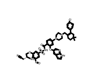 CC1(C)CCC(CN2CCN(c3ccc(C(=O)NS(=O)(=O)c4cc(N=O)c5c(c4)OC[C@@H](CC#N)N5)c(Oc4cnc5[nH]ccc5c4)c3)CC2)=C(c2ccc(Cl)cc2)C1